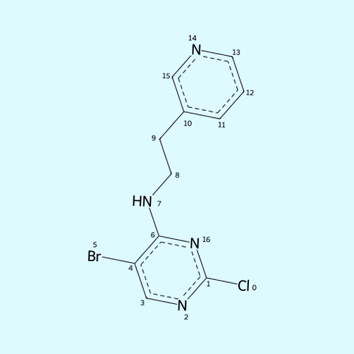 Clc1ncc(Br)c(NCCc2cccnc2)n1